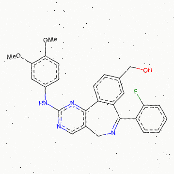 COc1ccc(Nc2ncc3c(n2)-c2ccc(CO)cc2C(c2ccccc2F)=NC3)cc1OC